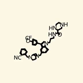 N#Cc1ccccc1CN1CC2CC1CN2Cc1ccc2c(c1)c(-c1ccc(OC(F)(F)F)cc1)cn2CCCNC(=O)C1CNCCN1